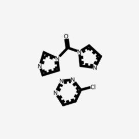 Clc1ccnnn1.O=C(n1ccnc1)n1ccnc1